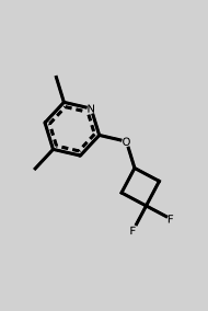 Cc1cc(C)nc(OC2CC(F)(F)C2)c1